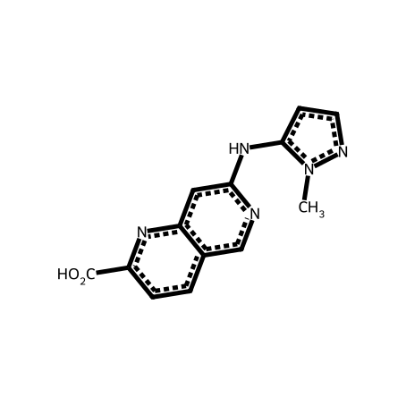 Cn1nccc1Nc1cc2nc(C(=O)O)ccc2cn1